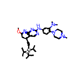 COc1cc(C#C[Si](C(C)C)(C(C)C)C(C)C)c2cnc(Nc3ccc(N4CCN(C)CC4)c(N(C)C)c3)nc2n1